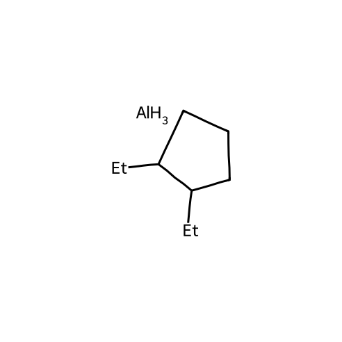 [AlH3].[CH2]CC1CCCC1CC